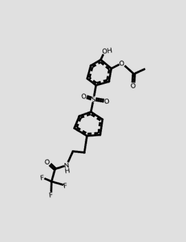 CC(=O)Oc1cc(S(=O)(=O)c2ccc(CCNC(=O)C(F)(F)F)cc2)ccc1O